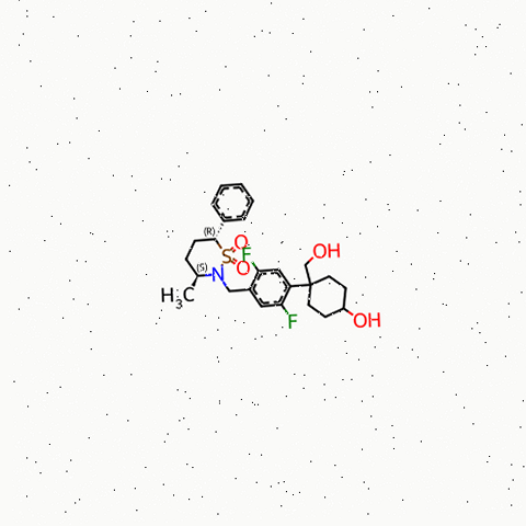 C[C@H]1CC[C@H](c2ccccc2)S(=O)(=O)N1Cc1cc(F)c(C2(CO)CCC(O)CC2)cc1F